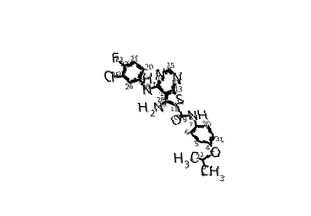 CC(C)Oc1ccc(NC(=O)c2sc3ncnc(Nc4ccc(F)c(Cl)c4)c3c2N)cc1